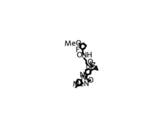 CNC(=O)c1c2cc(C3CC3)c(N(CCCNC(=O)c3cccc(OC)c3F)S(C)(=O)=O)cc2nn1-c1ccc(C)cc1